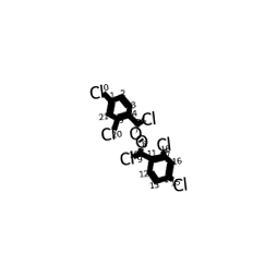 Clc1ccc(C(Cl)OOC(Cl)c2ccc(Cl)cc2Cl)c(Cl)c1